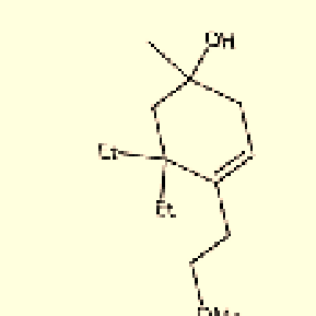 CCC1(CC)CC(C)(O)CC=C1CCOC